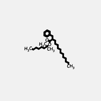 CCCCCCCCCCCCC(Cc1ccccc1)C(=O)OC(C)(C)CCCCCC